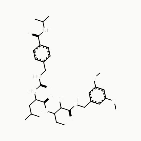 CCC(NC(=O)C(CC(C)C)NC(=O)NCc1ccc(C(=O)NC(C)C)cc1)C(O)C(=O)NCc1cc(OC)cc(OC)c1